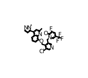 Cc1cc(-c2ccnn2C)c2cccc(OCc3c(Cl)cncc3Cn3cc(C(F)(F)F)cc(F)c3=O)c2n1